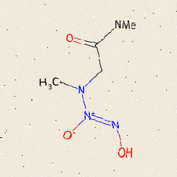 CNC(=O)CN(C)/[N+]([O-])=N/O